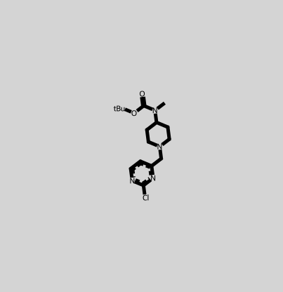 CN(C(=O)OC(C)(C)C)C1CCN(Cc2ccnc(Cl)n2)CC1